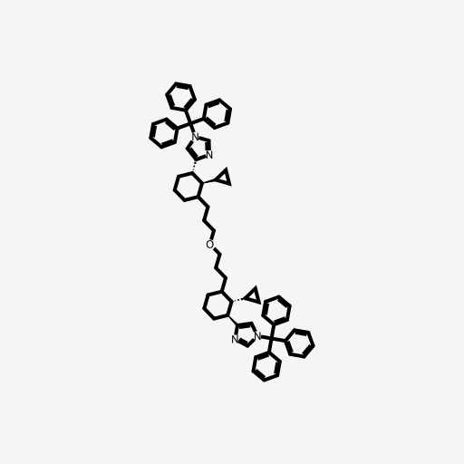 c1ccc(C(c2ccccc2)(c2ccccc2)n2cnc([C@H]3CCCC(CCCOCCCC4CCC[C@H](c5cn(C(c6ccccc6)(c6ccccc6)c6ccccc6)cn5)[C@H]4C4CC4)[C@@H]3C3CC3)c2)cc1